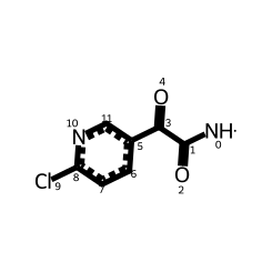 [NH]C(=O)C(=O)c1ccc(Cl)nc1